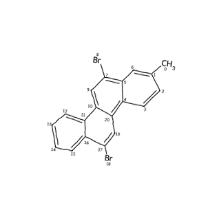 Cc1ccc2c(c1)c(Br)cc1c3ccccc3c(Br)cc21